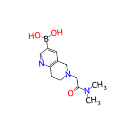 CN(C)C(=O)CN1CCc2ncc(B(O)O)cc2C1